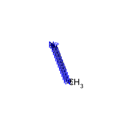 CC\N=N/N=N/N=N/N=N/N=N/N=N/N=N/N=N/N=N/N=N/N=N/N=[N+]=[N-]